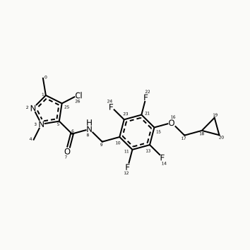 Cc1nn(C)c(C(=O)NCc2c(F)c(F)c(OCC3CC3)c(F)c2F)c1Cl